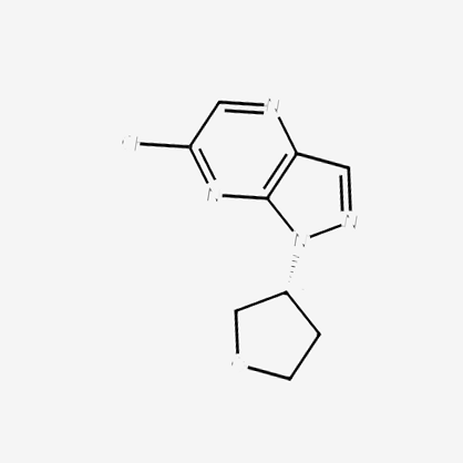 Clc1cnc2cnn([C@@H]3CCOC3)c2n1